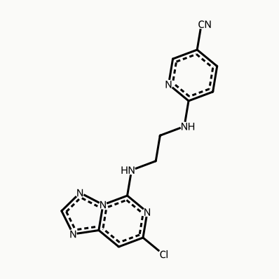 N#Cc1ccc(NCCNc2nc(Cl)cc3ncnn23)nc1